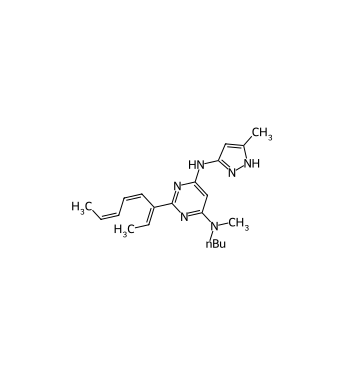 CC=C(/C=C\C=C/C)c1nc(Nc2cc(C)[nH]n2)cc(N(C)CCCC)n1